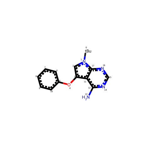 CC(C)(C)n1cc(Oc2ccccc2)c2c(N)ncnc21